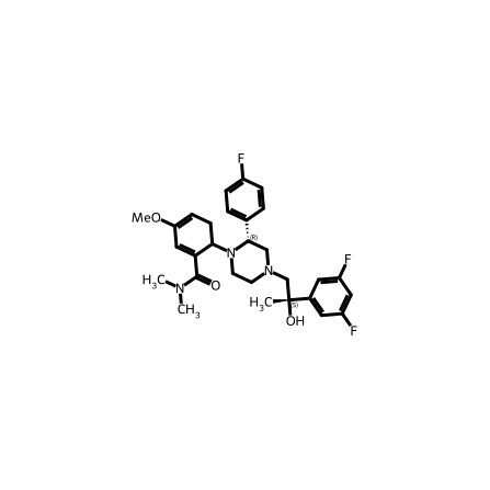 COC1=CCC(N2CCN(C[C@@](C)(O)c3cc(F)cc(F)c3)C[C@H]2c2ccc(F)cc2)C(C(=O)N(C)C)=C1